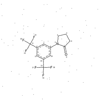 O=C1CCCN1c1cc(C(F)(F)F)cc(C(F)(F)F)c1